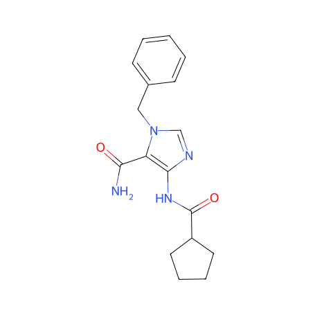 NC(=O)c1c(NC(=O)C2CCCC2)ncn1Cc1ccccc1